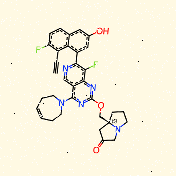 C#Cc1c(F)ccc2cc(O)cc(-c3ncc4c(N5CCC=CCC5)nc(OC[C@@]56CCCN5CC(=O)C6)nc4c3F)c12